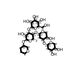 C[C@@H]1O[C@@H](O[C@@H]2CCCOC2)[C@H](O)[C@H](O[C@@H]2O[C@H](CO)[C@@H](O)[C@H](O)[C@H]2O)[C@H]1O[C@H]1C[C@@H](O[C@H]2C[C@@H](O)[C@H](O)CO2)[C@H](O)CO1